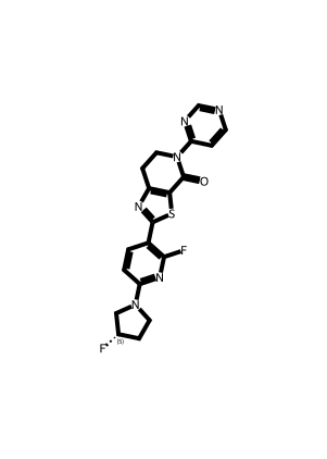 O=C1c2sc(-c3ccc(N4CC[C@H](F)C4)nc3F)nc2CCN1c1ccncn1